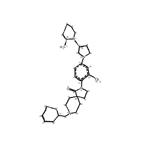 C[C@H]1CCCCN1[C@H]1CCN(c2ccc(N3CCC4(CCN(CC5CCCCC5)CC4)C3=O)c(C(F)(F)F)c2)C1